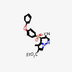 CCOC(=O)c1cn2ncc(C#N)c(S(=O)(=O)c3ccc(Oc4ccccc4)cc3)c2c1C